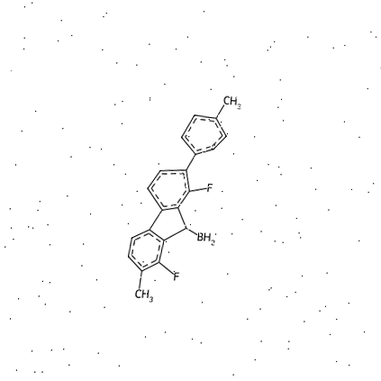 BC1c2c(ccc(C)c2F)-c2ccc(-c3ccc(C)cc3)c(F)c21